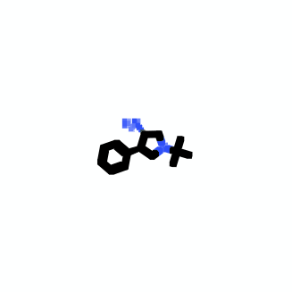 CC(C)(C)N1C[C@@H](N)[C@H](c2ccccc2)C1